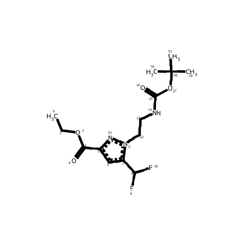 CCOC(=O)c1cc(C(F)F)n(CCNC(=O)OC(C)(C)C)n1